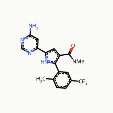 CNC(=O)c1cc(-c2cc(N)ncn2)[nH]c1-c1cc(C(F)(F)F)ccc1C